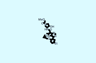 CCc1ccc(OCC2CC2)c(-c2ncnc3c(C(=O)N[C@@H]4CN(C(=O)COC)C[C@@H]4O)c(C)[nH]c23)c1